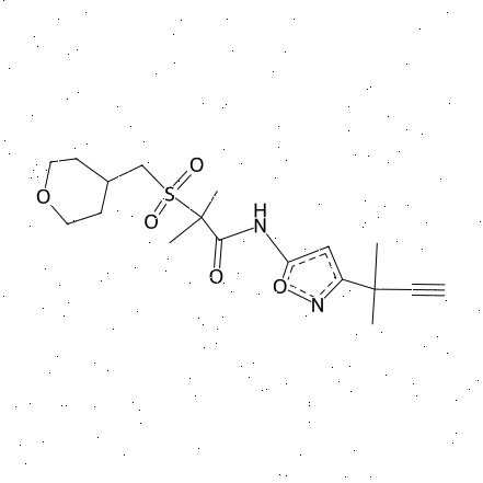 C#CC(C)(C)c1cc(NC(=O)C(C)(C)S(=O)(=O)CC2CCOCC2)on1